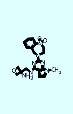 Cn1ccc2c(NCC3(N)COC3)nc(N3CCS(=O)(=O)c4ccccc4C3)nc21